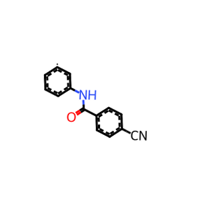 N#Cc1ccc(C(=O)Nc2c[c]ccc2)cc1